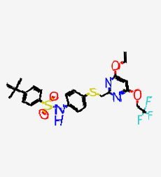 CCOc1cc(OCC(F)(F)F)nc(CSc2ccc(NS(=O)(=O)c3ccc(C(C)(C)C)cc3)cc2)n1